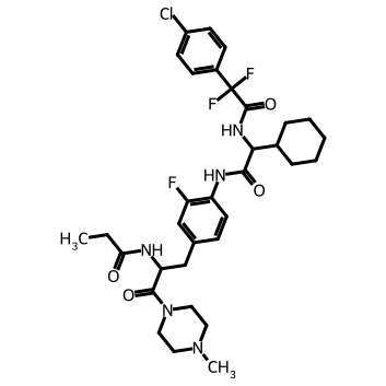 CCC(=O)NC(Cc1ccc(NC(=O)C(NC(=O)C(F)(F)c2ccc(Cl)cc2)C2CCCCC2)c(F)c1)C(=O)N1CCN(C)CC1